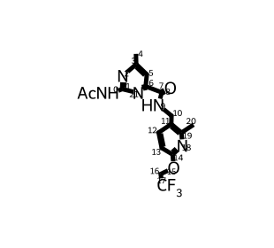 CC(=O)Nc1nc(C)cc(C(=O)NCc2ccc(OCC(F)(F)F)nc2C)n1